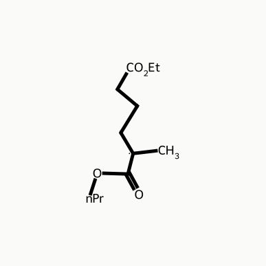 CCCOC(=O)[C](C)CCCC(=O)OCC